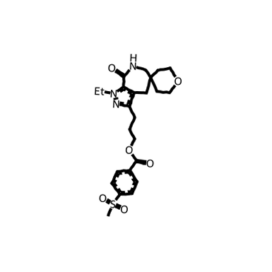 CCn1nc(CCCOC(=O)c2ccc(S(C)(=O)=O)cc2)c2c1C(=O)NCC1(CCOCC1)C2